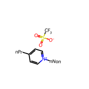 CCCCCCCCC[n+]1ccc(CCC)cc1.O=S(=O)([O-])C(F)(F)F